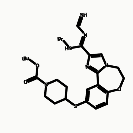 CC(C)N/C(=N\C=N)c1cn2c(n1)-c1cc(SC3CCN(C(=O)OC(C)(C)C)CC3)ccc1OCC2